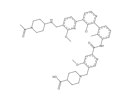 COc1cc(C(=O)Nc2cccc(-c3nccc(-c4ccc(CNC5CCN(C(C)=O)CC5)c(OC)n4)c3Cl)c2C)ncc1CN1CCC(C(=O)O)CC1